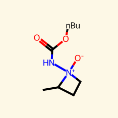 CCCCOC(=O)N[N+]1([O-])CCC1C